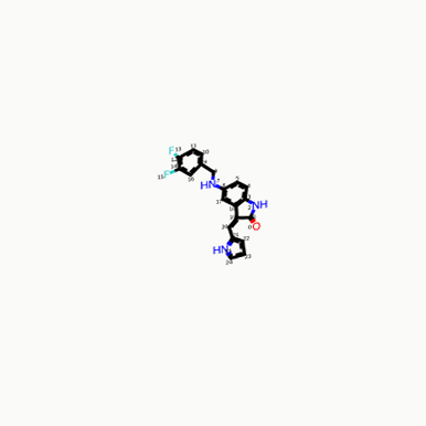 O=C1Nc2ccc(NCc3ccc(F)c(F)c3)cc2C1=Cc1ccc[nH]1